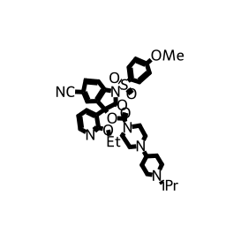 CCOc1ncccc1C1(OC(=O)N2CCN(C3CCN(C(C)C)CC3)CC2)C(=O)N(S(=O)(=O)c2ccc(OC)cc2)c2ccc(C#N)cc21